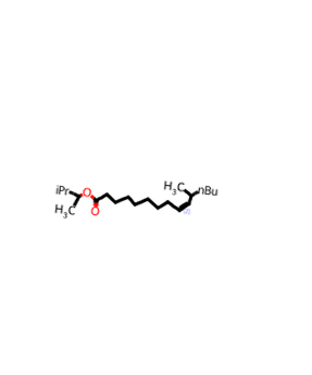 CCCCC(C)/C=C\CCCCCCCC(=O)OC(C)C(C)C